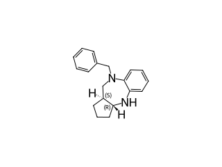 c1ccc(CN2C[C@@H]3CCC[C@H]3Nc3ccccc32)cc1